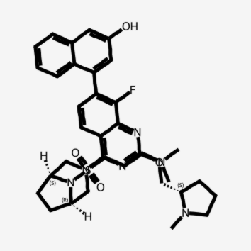 CN(C)CCCS(=O)(=O)N1[C@@H]2CC[C@H]1CN(c1nc(OC[C@@H]3CCCN3C)nc3c(F)c(-c4cc(O)cc5ccccc45)ccc13)C2